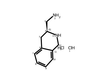 Cl.Cl.NC[C@@H]1Cc2ccccc2CN1